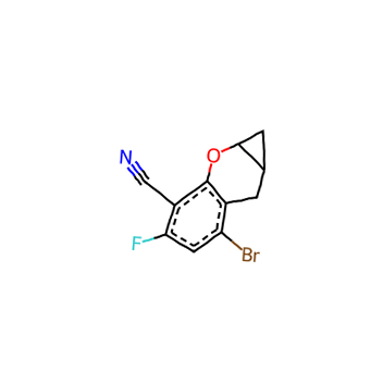 N#Cc1c(F)cc(Br)c2c1OC1CC1C2